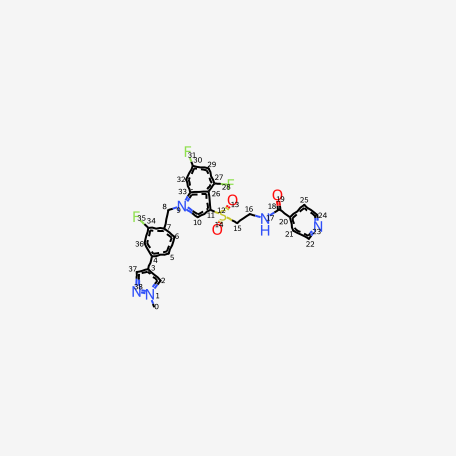 Cn1cc(-c2ccc(Cn3cc(S(=O)(=O)CCNC(=O)c4ccncc4)c4c(F)cc(F)cc43)c(F)c2)cn1